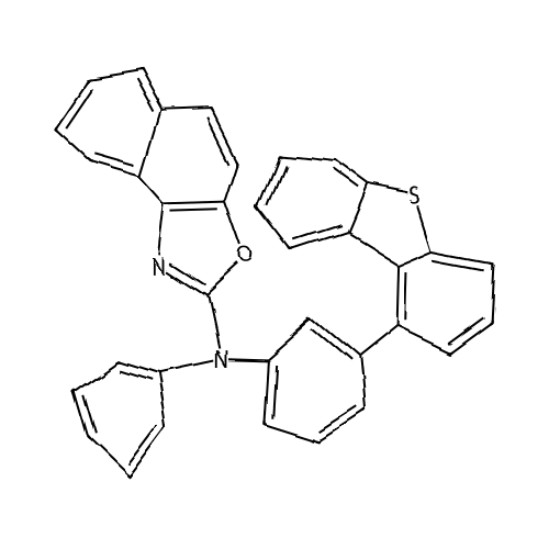 c1ccc(N(c2cccc(-c3cccc4sc5ccccc5c34)c2)c2nc3c(ccc4ccccc43)o2)cc1